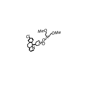 COCCN(CCOC)COC(=O)N1CCC(=C2c3ccc(Cl)cc3CCc3cccnc32)CC1